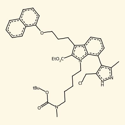 CCOC(=O)c1c(CCCOc2cccc3ccccc23)c2cccc(-c3c(C)n[nH]c3CCl)c2n1CCCCCN(C)C(=O)OC(C)(C)C